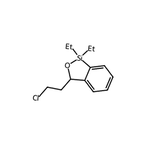 CC[Si]1(CC)OC(CCCl)c2ccccc21